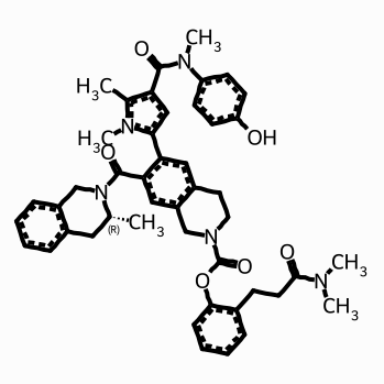 Cc1c(C(=O)N(C)c2ccc(O)cc2)cc(-c2cc3c(cc2C(=O)N2Cc4ccccc4C[C@H]2C)CN(C(=O)Oc2ccccc2CCC(=O)N(C)C)CC3)n1C